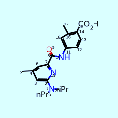 CCCN(c1cc(C)cc(C(=O)Nc2ccc(C(=O)O)c(C)c2)n1)C(C)C